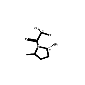 CCC(C)[C@H](CC)C(=O)N1C(C)CC[C@H]1C(C)C